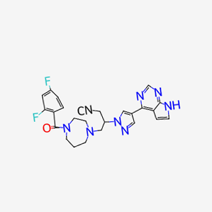 [C-]#[N+]CC(CN1CCCN(C(=O)c2ccc(F)cc2F)CC1)n1cc(-c2ncnc3[nH]ccc23)cn1